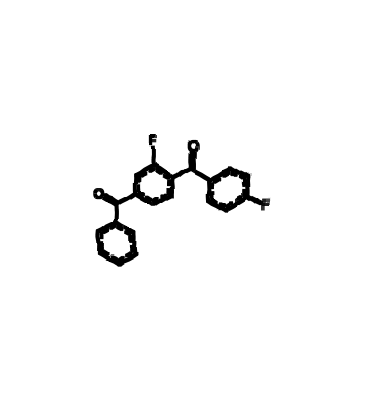 O=C(c1ccccc1)c1ccc(C(=O)c2ccc(F)cc2)c(F)c1